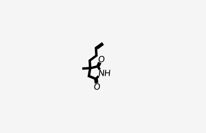 C=CCCC1(C)CC(=O)NC1=O